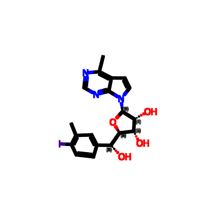 Cc1cc([C@@H](O)[C@H]2O[C@@H](n3ccc4c(C)ncnc43)[C@H](O)[C@@H]2O)ccc1I